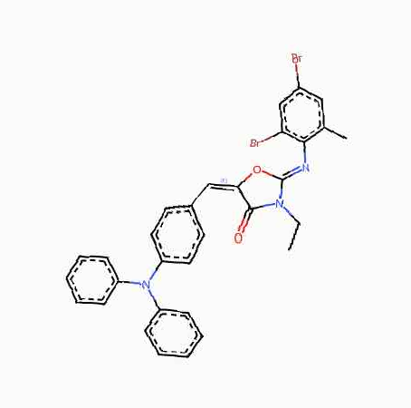 CCN1C(=O)/C(=C\c2ccc(N(c3ccccc3)c3ccccc3)cc2)OC1=Nc1c(C)cc(Br)cc1Br